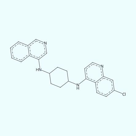 Clc1ccc2c(NC3CCC(Nc4cncc5ccccc45)CC3)ccnc2c1